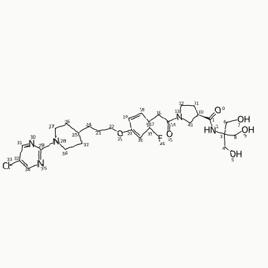 O=C(NC(CO)(CO)CO)[C@@H]1CCN(C(=O)Cc2ccc(OCCCC3CCN(c4ncc(Cl)cn4)CC3)cc2F)C1